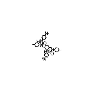 CC1CCC(N(CC2CCC(CN(C(=O)Nc3ccc(N(C)C)cc3)C3CCC(C)CC3)CC2)C(=O)Nc2ccc(N(C)C)cc2)CC1